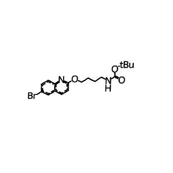 CC(C)(C)OC(=O)NCCCCOc1ccc2cc(Br)ccc2n1